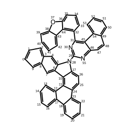 c1ccc2cc3c(cc2c1)c1c2c4ccccc4c4ccccc4c2ccc1n3-c1nc(-c2cccc3oc4ccccc4c23)c2c(ccc3ccccc32)n1